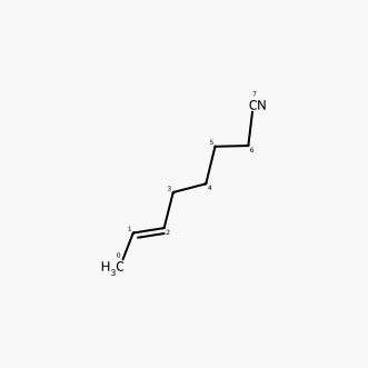 CC=CCCCCC#N